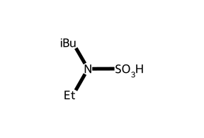 CCC(C)N(CC)S(=O)(=O)O